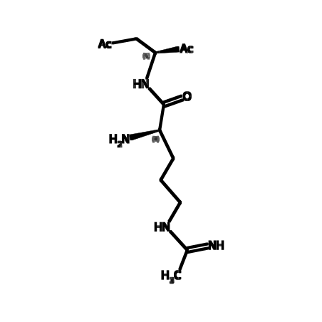 CC(=N)NCCC[C@@H](N)C(=O)N[C@@H](CC(C)=O)C(C)=O